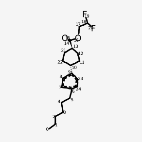 CCCCCCc1ccc([C@H]2CC[C@H](C(=O)OCC(F)F)CC2)cc1